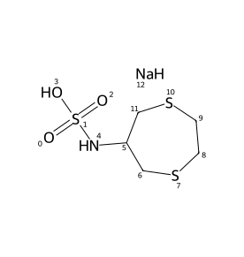 O=S(=O)(O)NC1CSCCSC1.[NaH]